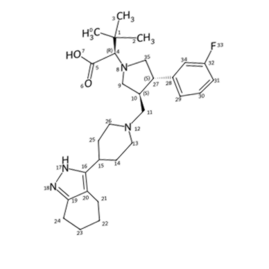 CC(C)(C)[C@H](C(=O)O)N1C[C@H](CN2CCC(c3[nH]nc4c3CCCC4)CC2)[C@@H](c2cccc(F)c2)C1